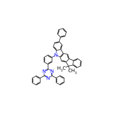 CC1(C)c2ccccc2-c2cc3c4cc(-c5ccccc5)ccc4n(-c4cccc(-c5nc(-c6ccccc6)nc(-c6ccccc6)n5)c4)c3cc21